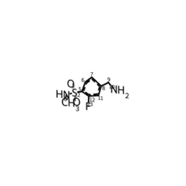 CNS(=O)(=O)c1ccc(CN)cc1F